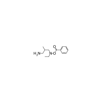 CCN(CC(C)CN)OC(=O)c1ccccc1